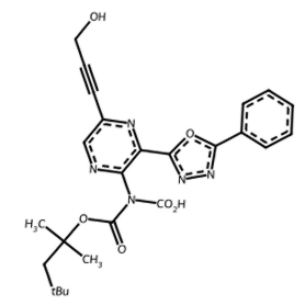 CC(C)(C)CC(C)(C)OC(=O)N(C(=O)O)c1ncc(C#CCO)nc1-c1nnc(-c2ccccc2)o1